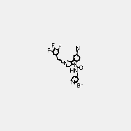 N#Cc1ccc2c(c1)c1c(n2C(=O)NCc2ccnc(Br)c2)CCN(C/C=C/c2cc(F)c(F)c(F)c2)C1